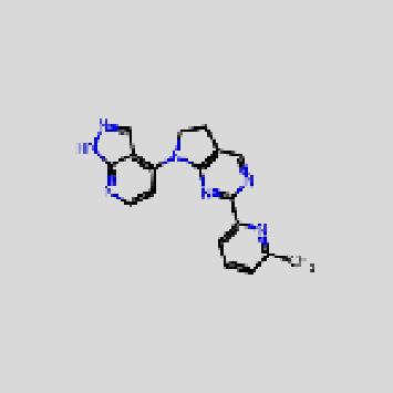 Cc1cccc(-c2ncc3c(n2)N(c2ccnc4[nH]ncc24)CC3)n1